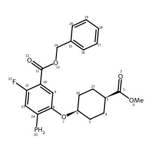 COC(=O)[C@H]1CC[C@@H](Oc2cc(C(=O)OCc3ccccc3)c(F)cc2P)CC1